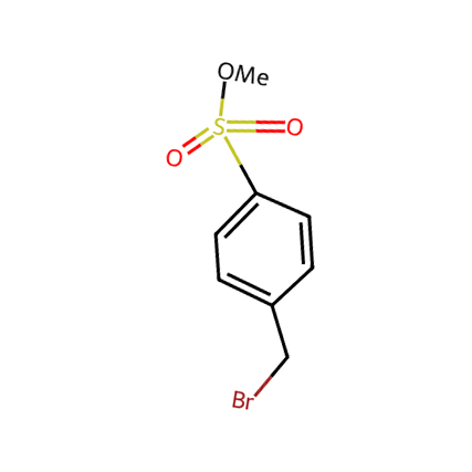 COS(=O)(=O)c1ccc(CBr)cc1